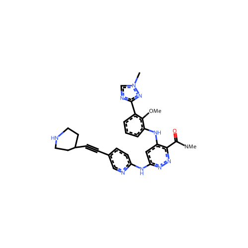 CNC(=O)c1nnc(Nc2ccc(C#CC3CCNCC3)cn2)cc1Nc1cccc(-c2ncn(C)n2)c1OC